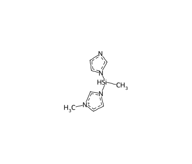 C[n+]1ccn([SiH](C)n2ccnc2)c1